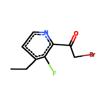 CCc1ccnc(C(=O)CBr)c1F